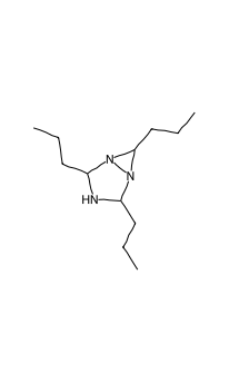 CCCC1NC(CCC)N2C(CCC)N12